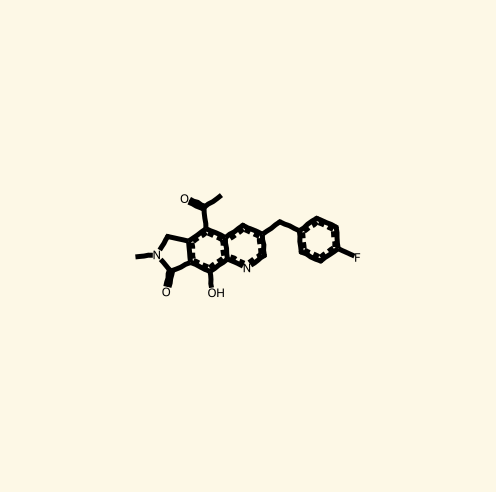 CC(=O)c1c2c(c(O)c3ncc(Cc4ccc(F)cc4)cc13)C(=O)N(C)C2